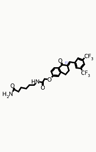 NC(=O)CCCCCNC(=O)COc1ccc2c(c1)CC/C(=C\c1cc(C(F)(F)F)cc(C(F)(F)F)c1)C2=O